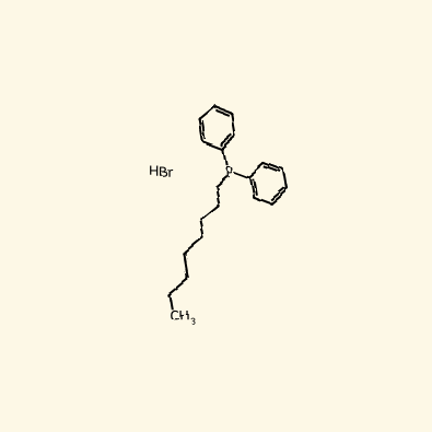 Br.CCCCCCCCP(c1ccccc1)c1ccccc1